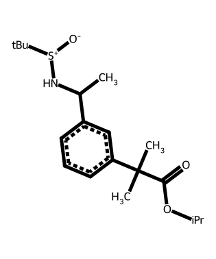 CC(C)OC(=O)C(C)(C)c1cccc(C(C)N[S+]([O-])C(C)(C)C)c1